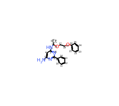 CCC(Nc1cc(N)nc(-c2ccccc2)n1)OCCOc1ccccc1